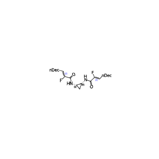 CCCCCCCCCC/C=C(\F)C(=O)N[C@H]1C[C@H]1NC(=O)/C(F)=C/CCCCCCCCCC